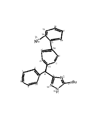 CCCCc1nc(C(c2ccccc2)c2ccc(-c3ccccc3C#N)cc2)n[nH]1